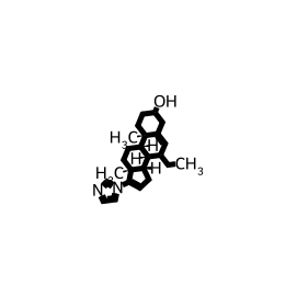 CCC1C=C2CC(O)CC[C@]2(C)[C@@H]2CC[C@]3(C)C(n4ccnc4)=CC[C@H]3[C@H]12